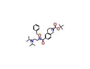 CC(C)N(CCN(OCc1ccccc1)C(=O)c1ccc2c(c1)CCN(C(=O)OC(C)(C)C)C2)C(C)C